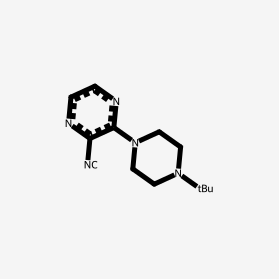 [C-]#[N+]c1nccnc1N1CCN(C(C)(C)C)CC1